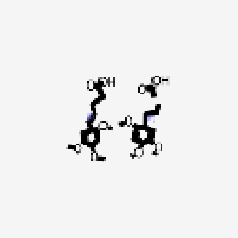 C/C=C/c1cc(OC)c(OC)cc1OC.CC(=O)O.COc1cc(OC)c(OC)cc1/C=C/CCC(=O)O